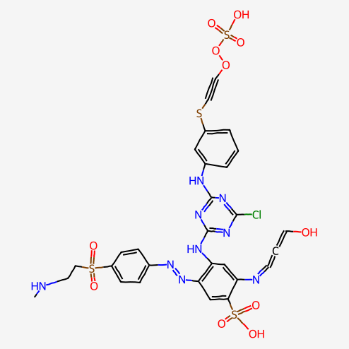 CNCCS(=O)(=O)c1ccc(N=Nc2cc(S(=O)(=O)O)c(N=C=C=CO)cc2Nc2nc(Cl)nc(Nc3cccc(SC#COOS(=O)(=O)O)c3)n2)cc1